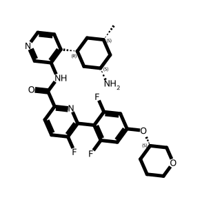 C[C@@H]1C[C@H](N)C[C@H](c2ccncc2NC(=O)c2ccc(F)c(-c3c(F)cc(O[C@H]4CCCOC4)cc3F)n2)C1